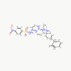 CCNC1(C(C)Nc2nccc(NS(=O)(=O)c3ccc([N+](=O)[O-])cc3)n2)C=CC(c2ccccc2)=CC1